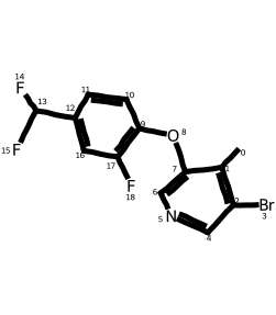 Cc1c(Br)cncc1Oc1ccc(C(F)F)cc1F